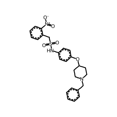 O=[N+]([O-])c1ccccc1CS(=O)(=O)Nc1ccc(OC2CCN(Cc3ccccc3)CC2)cc1